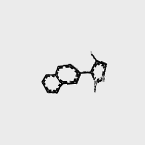 Cn1ncc(I)c1-c1ccc2ccccc2c1